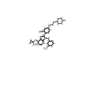 CC1(Oc2ncnc3c2nc(-c2ccc(OCCN4CCNCC4)cc2Cl)n3Cc2cc(C(F)(F)F)ccn2)CC1